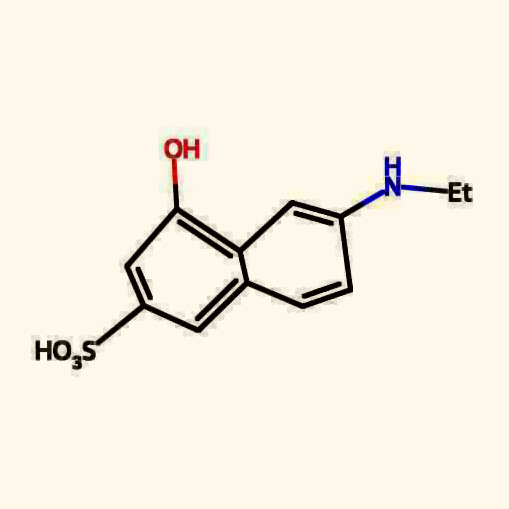 CCNc1ccc2cc(S(=O)(=O)O)cc(O)c2c1